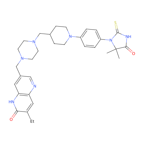 CCc1cc2ncc(CN3CCN(CC4CCN(c5ccc(N6C(=S)NC(=O)C6(C)C)cc5)CC4)CC3)cc2[nH]c1=O